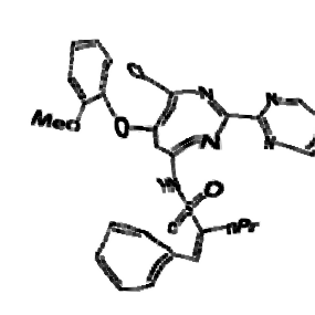 CCCC(=Cc1ccccc1)S(=O)(=O)Nc1nc(-c2ncccn2)nc(Cl)c1Oc1ccccc1OC